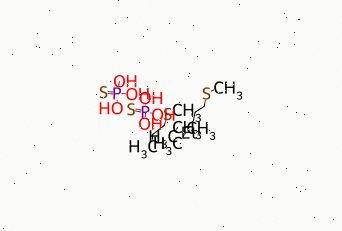 CC.CCC.CCCSC.CCCSC.OP(O)(O)=S.OP(O)(O)=S